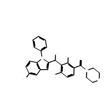 N#Cc1ccc2c(c1)cc(C(O)c1c(Cl)ccc(C(=O)N3CCOCC3)c1Cl)n2-c1ccccc1